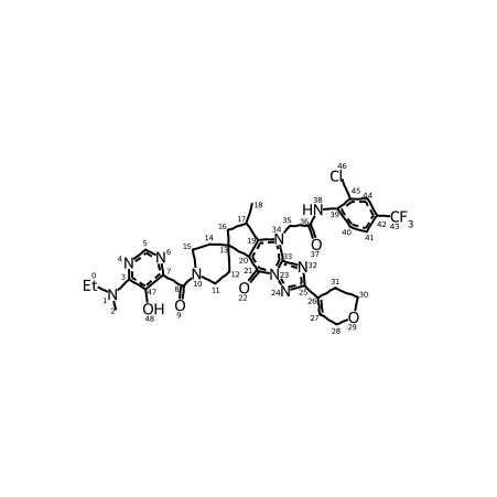 CCN(C)c1ncnc(C(=O)N2CCC3(CC2)CC(C)c2c3c(=O)n3nc(C4=CCOCC4)nc3n2CC(=O)Nc2ccc(C(F)(F)F)cc2Cl)c1O